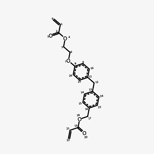 C=CC(=O)OCCOc1ccc(Cc2ccc(COC(=O)C=C)cc2)cc1